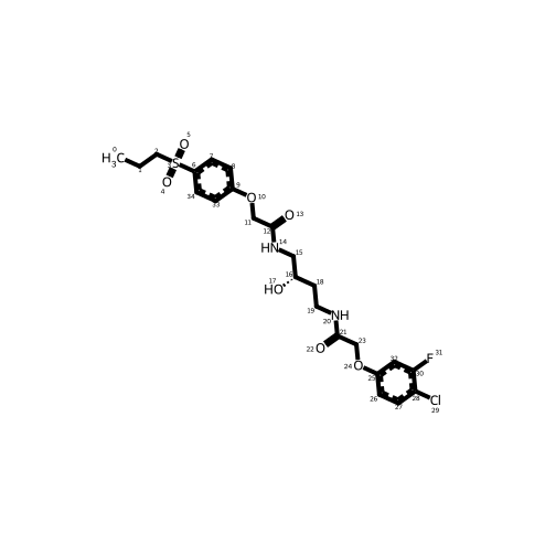 CCCS(=O)(=O)c1ccc(OCC(=O)NC[C@@H](O)CCNC(=O)COc2ccc(Cl)c(F)c2)cc1